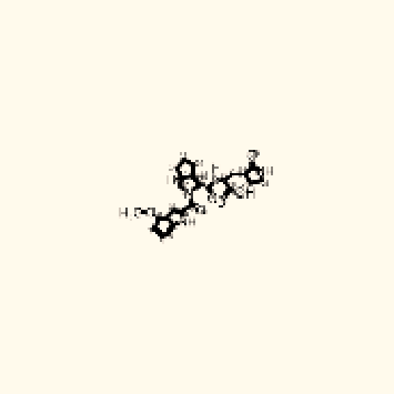 COc1cccc2[nH]c(C(=O)N3C[C@@H]4CCC[C@@H]4[C@H]3C(=O)NC(C[C@@H]3CCNC3=O)C(=O)O)cc12